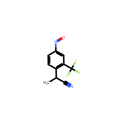 CC(C#N)c1ccc(N=O)cc1C(F)(F)F